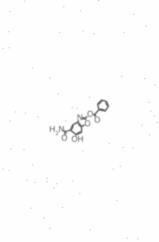 NC(=O)c1cc2nc(OC(=O)c3ccccc3)oc2cc1O